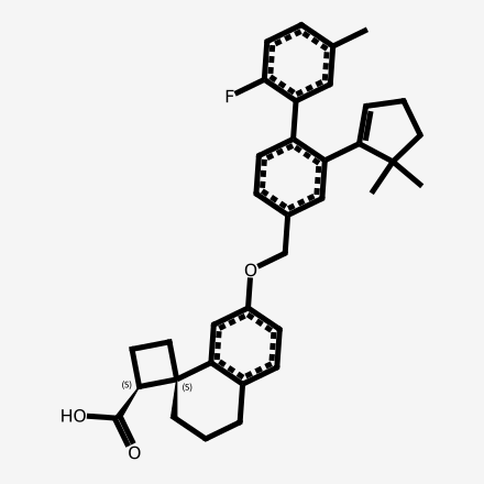 Cc1ccc(F)c(-c2ccc(COc3ccc4c(c3)[C@@]3(CCC4)CC[C@@H]3C(=O)O)cc2C2=CCCC2(C)C)c1